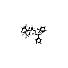 CC1(C[C@H](NC(=O)c2ccoc2)C(=O)N2C[C@H](Cl)[C@H]3OCC(=O)[C@H]32)CCCC1